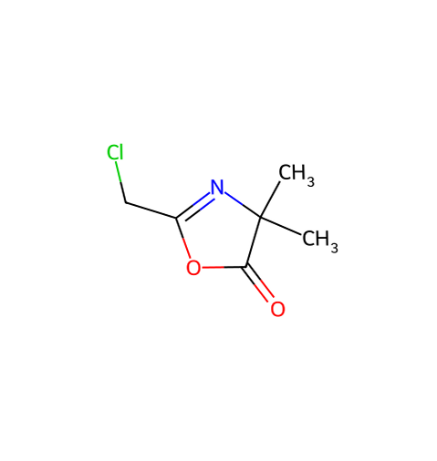 CC1(C)N=C(CCl)OC1=O